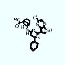 O=C(O)[C@H]1C2CCC(CC2)C1Nc1cc(-c2ccccc2)nc(-c2c[nH]c3ncc(Cl)nc23)n1